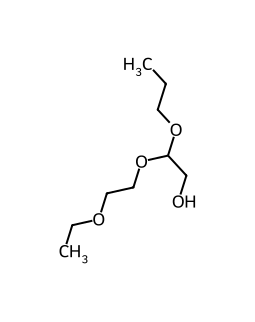 CCCOC(CO)OCCOCC